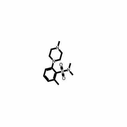 Cc1cccc(N2CCN(C)CC2)c1S(=O)(=O)N(C)C